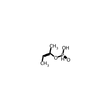 CC=C(C)O[PH](=O)O